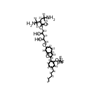 CCCCCc1ccc(-c2cc3ccc(OCC(O)CC(O)COC(=O)C(CC(C)(C)N)C(C)(C)N)cc3o2)c(OC(F)(F)F)c1